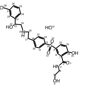 Cl.O=C(NCCO)c1cc(S(=O)(=O)c2ccc(CCNC[C@@H](O)c3cccc(Cl)c3)cc2)ccc1O